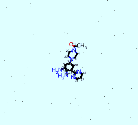 CC(=O)N1CCN(c2cc(N)c(N)c(-c3ncccn3)c2)CC1